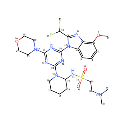 COc1cccc2c1nc(C(F)F)n2-c1nc(N2CCOCC2)nc(N2CCCCC2NS(=O)(=O)CCN(C)C)n1